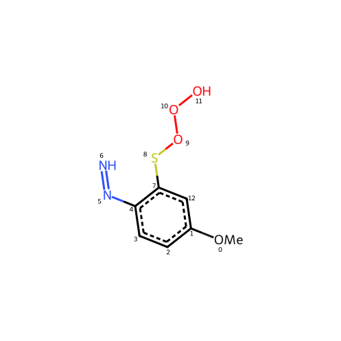 COc1ccc(N=N)c(SOOO)c1